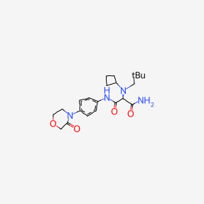 CC(C)(C)CN(C1CCC1)[C@@H](C(N)=O)C(=O)Nc1ccc(N2CCOCC2=O)cc1